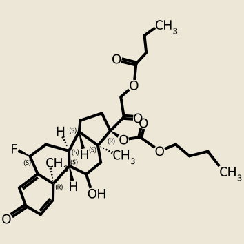 CCCCOC(=O)O[C@]1(C(=O)COC(=O)CCC)CC[C@H]2[C@@H]3C[C@H](F)C4=CC(=O)C=C[C@]4(C)[C@H]3C(O)C[C@@]21C